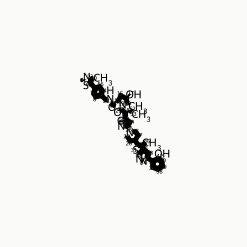 Cc1ncsc1-c1ccc(CNC(=O)[C@@H]2C[C@@H](O)CN2C(=O)[C@@H](c2cc(N3CCC(c4sc5nnc(-c6ccccc6O)cc5c4C)CC3)no2)C(C)C)cc1